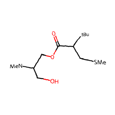 CNC(CO)COC(=O)C(CSC)C(C)(C)C